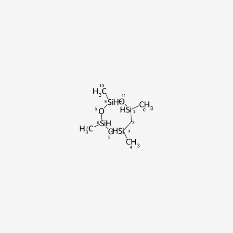 C[SiH]1C[SiH](C)O[SiH](C)O[SiH](C)O1